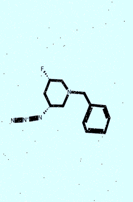 [N-]=[N+]=N[C@@H]1C[C@H](F)CN(Cc2ccccc2)C1